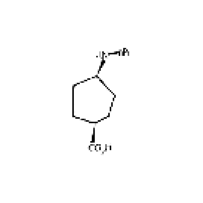 CCCN[C@H]1CC[C@@H](C(=O)O)CC1